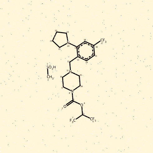 CS(=O)(=O)O.O=C(OC(C(F)(F)F)C(F)(F)F)N1CCN(Cc2ccc(C(F)(F)F)cc2N2CCCC2)CC1